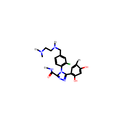 CCNC(=O)c1nnc(-c2cc(C(C)C)c(O)cc2O)n1-c1ccc(CN(CC)CCN(C)CC)cc1F